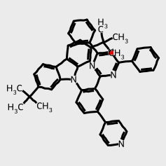 CC(C)(C)c1ccc2c3ccc(C(C)(C)C)cc3n(-c3ccc(-c4ccncc4)cc3-c3nc(-c4ccccc4)nc(-c4ccccc4)n3)c2c1